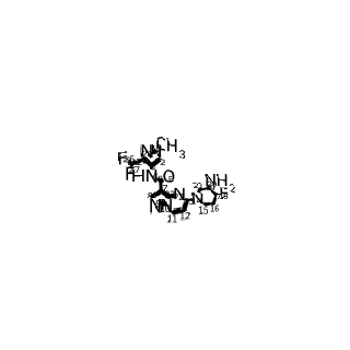 Cn1cc(NC(=O)c2cnn3ccc(N4CC[C@H](F)[C@H](N)C4)nc23)c(C(F)F)n1